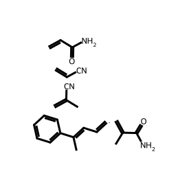 C=C(C)C#N.C=C(C)C(N)=O.C=CC#N.C=CC(N)=O.[CH]=CC=C(C)c1ccccc1